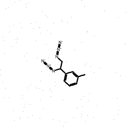 Cc1cccc(C(CN=[N+]=[N-])N=[N+]=[N-])c1